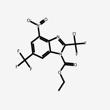 CCOC(=O)n1c(C(F)(F)Cl)nc2c([N+](=O)[O-])cc(C(F)(F)F)cc21